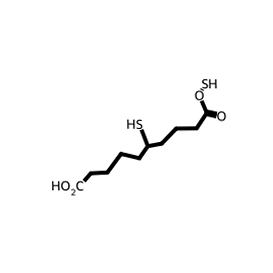 O=C(O)CCCCC(S)CCCC(=O)OS